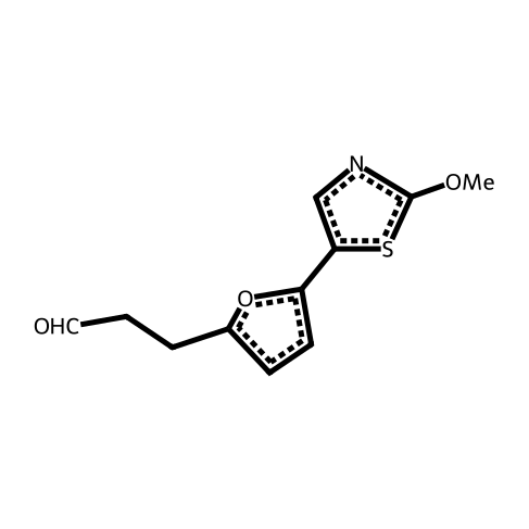 COc1ncc(-c2ccc(CCC=O)o2)s1